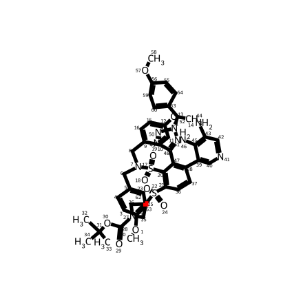 COc1ccc(CN(Cc2ccc(OC)cc2)S(=O)(=O)c2c(S(=O)(=O)C3CN(C(=O)OC(C)(C)C)C3)ccc(-c3cncc(N)c3N)c2-c2nnn(Cc3ccc(OC)cc3)n2)cc1